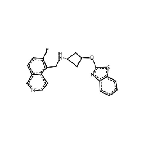 Fc1ccc2cnccc2c1CN[C@H]1C[C@H](Oc2nc3ccccc3s2)C1